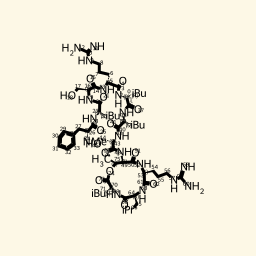 CC[C@@H](C)[C@@H](NC(=O)[C@@H](CCCNC(=N)N)NC(=O)[C@H](CO)NC(=O)[C@@H](NC(=O)[C@@H](Cc1ccccc1)NC)[C@@H](C)CC)C(=O)N[C@H](C(=O)N[C@@H](CO)C(=O)N[C@H]1C(=O)N[C@@H](CCCNC(=N)N)C(=O)N[C@@H](CC(C)C)C(=O)N[C@@H]([C@@H](C)CC)C(=O)O[C@H]1C)[C@@H](C)CC